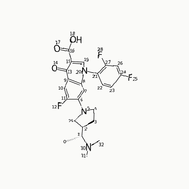 C[C@H]([C@@H]1CCN(c2cc3c(cc2F)c(=O)c(C(=O)O)cn3-c2ccc(F)cc2F)C1)N(C)C